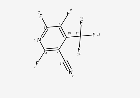 N#Cc1c(F)nc(F)c(F)c1C(F)(F)F